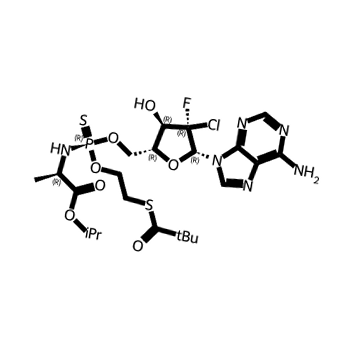 CC(C)OC(=O)[C@@H](C)N[P@](=S)(OCCSC(=O)C(C)(C)C)OC[C@H]1O[C@@H](n2cnc3c(N)ncnc32)[C@](F)(Cl)[C@@H]1O